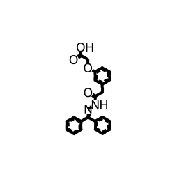 O=C(O)COc1cccc(CC(=O)NN=C(c2ccccc2)c2ccccc2)c1